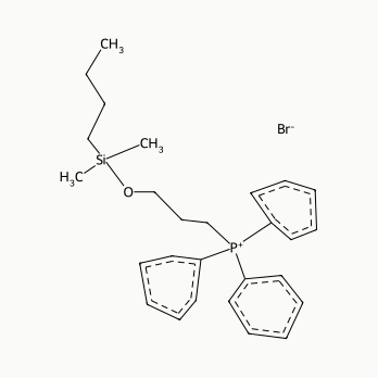 CCCC[Si](C)(C)OCCC[P+](c1ccccc1)(c1ccccc1)c1ccccc1.[Br-]